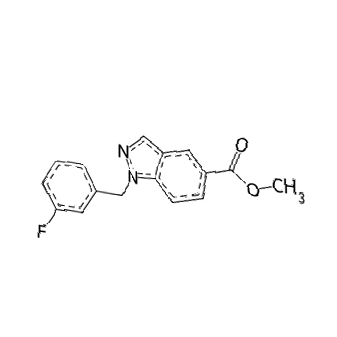 COC(=O)c1ccc2c(cnn2Cc2cccc(F)c2)c1